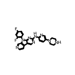 Fc1ccc(-n2c3cnccc3c3cnc(Nc4ccc(N5CCNCC5)cn4)nc32)c(F)c1